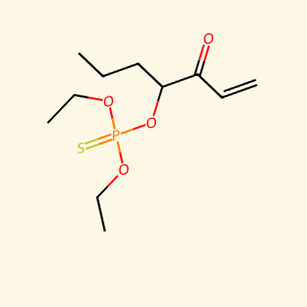 C=CC(=O)C(CCC)OP(=S)(OCC)OCC